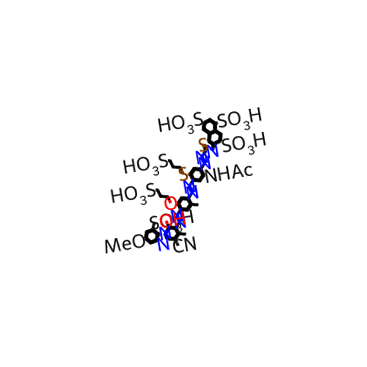 COc1cc(S(=O)(=O)O)c2c(c1)nc1c(C#N)c(C)c(N=Nc3cc(C)c(N=Nc4cc(NC(C)=O)c(N=Nc5nc6c(S(=O)(=O)O)cc7c(S(=O)(=O)O)cc(S(=O)(=O)O)cc7c6s5)cc4SCCCS(=O)(=O)O)cc3OCCCS(=O)(=O)O)c(O)n12